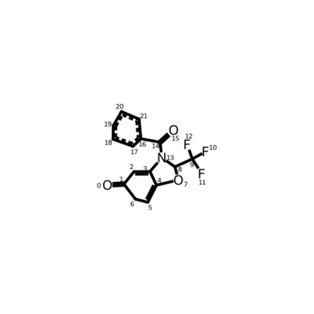 O=C1C=C2C(=CC1)OC(C(F)(F)F)N2C(=O)c1ccccc1